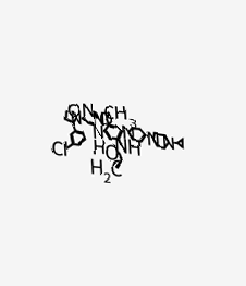 C=CC(=O)Nc1cc(Nc2cc(N3OCCC3c3cccc(Cl)c3)ncn2)c(OC)cc1N1CCC(N2CCN(C3CC3)CC2)CC1